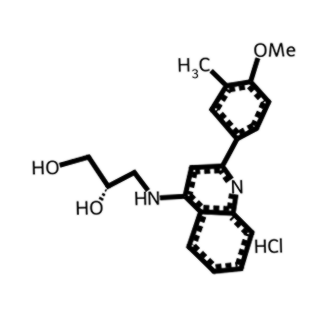 COc1ccc(-c2cc(NC[C@H](O)CO)c3ccccc3n2)cc1C.Cl